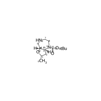 CC1C[C@@H]2[C@@H](CNCCN2C(=O)OC(C)(C)C)O1